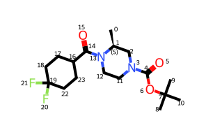 C[C@H]1CN(C(=O)OC(C)(C)C)CCN1C(=O)C1CCC(F)(F)CC1